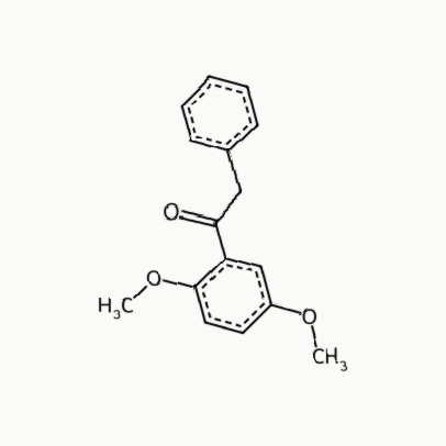 COc1ccc(OC)c(C(=O)Cc2ccccc2)c1